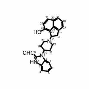 O=CC1Nc2ccccc2N1C1CCN(C2Cc3cccc4ccc(O)c2c34)CC1